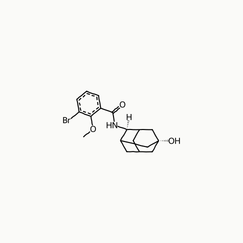 COc1c(Br)cccc1C(=O)N[C@H]1C2CC3CC1C[C@](O)(C3)C2